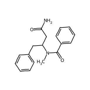 CN(C(=O)c1ccccc1)C(CC(N)=O)Cc1ccccc1